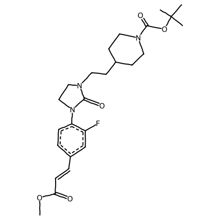 COC(=O)C=Cc1ccc(N2CCN(CCC3CCN(C(=O)OC(C)(C)C)CC3)C2=O)c(F)c1